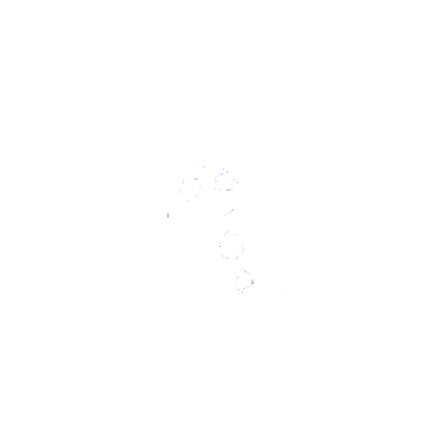 Cc1cn(-c2ccc(/C=C/c3nc4n(n3)CCC[C@@]4(O)c3ccc(C(C)C)cc3)cc2C)cn1